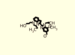 C#CCn1c(-c2cc3cccc4c3n2C(CC)CN4CCCO)nc2cc(C=O)cc(OC)c21